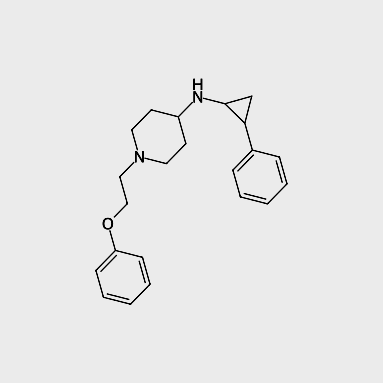 c1ccc(OCCN2CCC(NC3CC3c3ccccc3)CC2)cc1